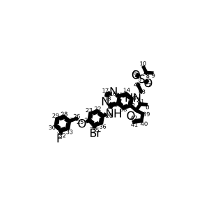 CC(NCCS(=O)(=O)C(C)C)C1(c2ccc3ncnc(Nc4ccc(OCc5cccc(F)c5)c(Br)c4)c3c2)CC=CO1